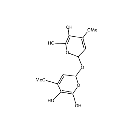 COC1=CC(OC2C=C(OC)C(O)=C(O)O2)OC(O)=C1O